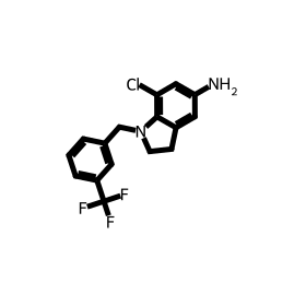 Nc1cc(Cl)c2c(c1)CCN2Cc1cccc(C(F)(F)F)c1